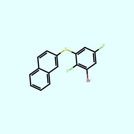 Fc1cc(Br)c(F)c(Sc2ccc3ccccc3c2)c1